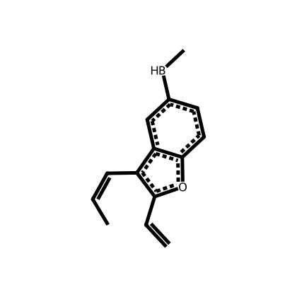 C=Cc1oc2ccc(BC)cc2c1/C=C\C